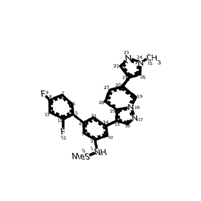 CSNc1cc(-c2ccc(F)cc2F)cc(-c2cnn3cc(-c4cnn(C)c4)ccc23)c1